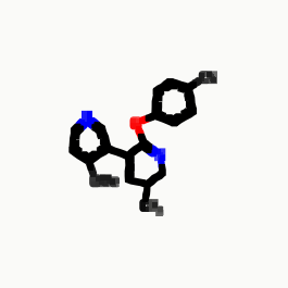 COc1ccncc1C1=CC(C)CN=C1Oc1ccc(C#N)cc1